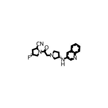 N#CC1C[C@H](F)CN1C(=O)CN1CC[C@H](Nc2cnc3ccccc3c2)C1